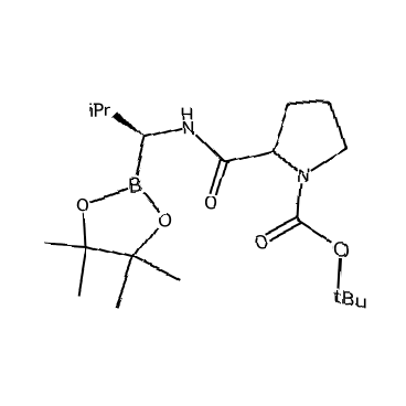 CC(C)[C@@H](NC(=O)C1CCCN1C(=O)OC(C)(C)C)B1OC(C)(C)C(C)(C)O1